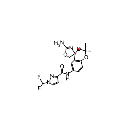 CC1(C)Oc2ccc(NC(=O)c3ccn(C(F)F)n3)cc2C2(COC(N)=N2)C12COC2